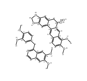 COc1ccc(Cc2nccc3cc(OC)c(OC)cc23)cc1OC.COc1ccc2cc3[n+](cc2c1OC)CCc1cc2c(cc1-3)OCO2.Cl.Cl